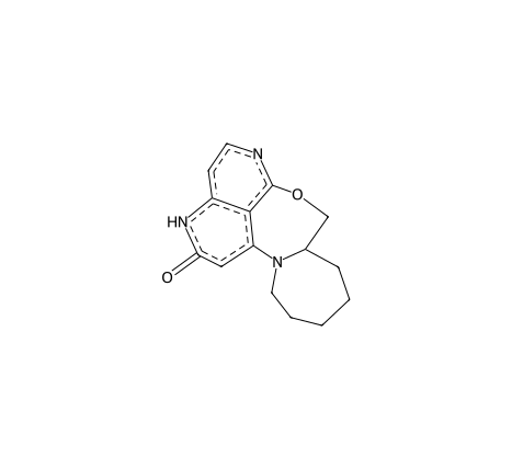 O=c1cc2c3c(nccc3[nH]1)OCC1CCCCCN21